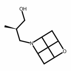 C[C@@H](CO)CN1C2CC3OC4CC1C342